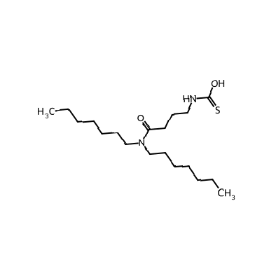 CCCCCCCN(CCCCCCC)C(=O)CCCNC(O)=S